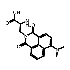 CN(C)c1ccc2c3c(cccc13)C(=O)N(CC(N)C(=O)O)C2=O